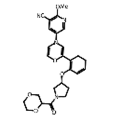 COc1ncc(N2C=COC(C3=C(O[C@H]4CCN(C(=O)C5COCCO5)C4)C=CCC3)=C2)cc1C#N